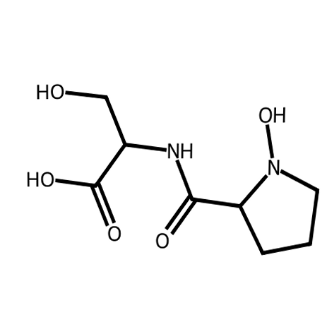 O=C(O)C(CO)NC(=O)C1CCCN1O